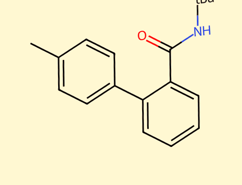 Cc1ccc(-c2ccccc2C(=O)NC(C)(C)C)cc1